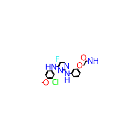 CNC(=O)COc1cccc(Nc2ncc(F)c(Nc3ccc(OC)c(Cl)c3)n2)c1